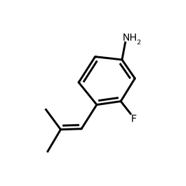 CC(C)=Cc1ccc(N)cc1F